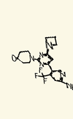 Nc1cc(C(F)(F)F)c(-c2cc(N3CCC3)nc(N3CCC(=O)CC3)n2)cn1